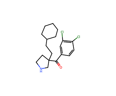 O=C(c1ccc(Cl)c(Cl)c1)C1(CCC2CCCCC2)CCNC1